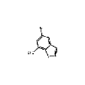 O=Cc1cc(Br)cc2cnsc12